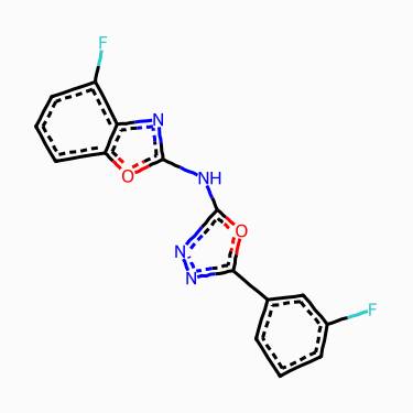 Fc1cccc(-c2nnc(Nc3nc4c(F)cccc4o3)o2)c1